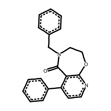 O=C1c2c(-c3ccccc3)ccnc2OCCN1Cc1ccccc1